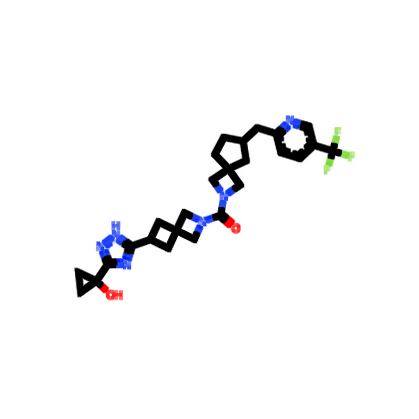 O=C(N1CC2(CCC(Cc3ccc(C(F)(F)F)cn3)C2)C1)N1CC2(CC(c3nc(C4(O)CC4)n[nH]3)C2)C1